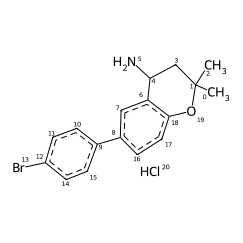 CC1(C)CC(N)c2cc(-c3ccc(Br)cc3)ccc2O1.Cl